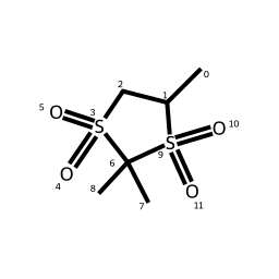 CC1CS(=O)(=O)C(C)(C)S1(=O)=O